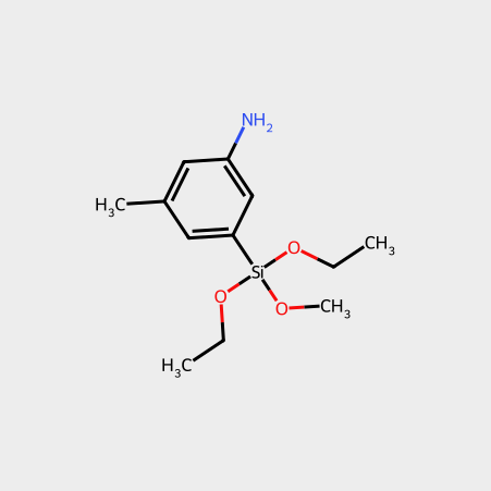 CCO[Si](OC)(OCC)c1cc(C)cc(N)c1